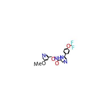 COc1cncc(CONC(=O)c2cncc(-c3ccc(OC(F)F)cc3)n2)c1